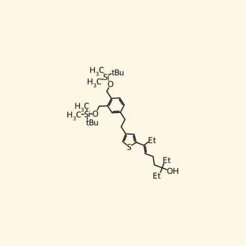 CC/C(=C\CCC(O)(CC)CC)c1cc(CCc2ccc(CO[Si](C)(C)C(C)(C)C)c(CO[Si](C)(C)C(C)(C)C)c2)cs1